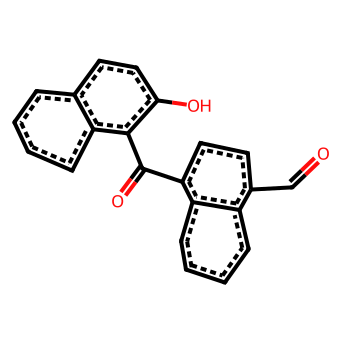 O=Cc1ccc(C(=O)c2c(O)ccc3ccccc23)c2ccccc12